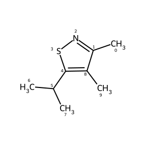 Cc1nsc(C(C)C)c1C